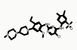 CCc1cc(Nc2ncc(Cl)c(Nc3cc(C)c(C)cc3P(C)(C)=O)n2)c(OC)cc1N1CCC(N2CCN(C)CC2)CC1